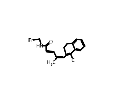 CC(C=CC(=O)NCC(C)C)=CC1=C(Cl)c2ccccc2CC1